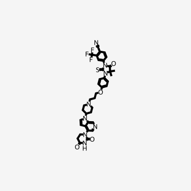 CC1(C)C(=O)N(c2ccc(C#N)c(C(F)(F)F)c2)C(=S)N1c1ccc(OCCCN2CCC(n3ccc4c(N5CCC(=O)NC5=O)cncc43)CC2)cc1